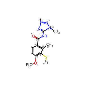 CCSc1c(OC(F)(F)F)ccc(C(=O)Nc2nnnn2C)c1C